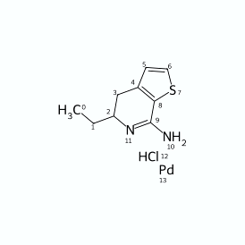 CCC1Cc2ccsc2C(N)=N1.Cl.[Pd]